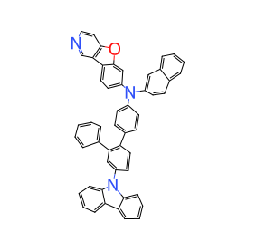 c1ccc(-c2cc(-n3c4ccccc4c4ccccc43)ccc2-c2ccc(N(c3ccc4ccccc4c3)c3ccc4c(c3)oc3ccncc34)cc2)cc1